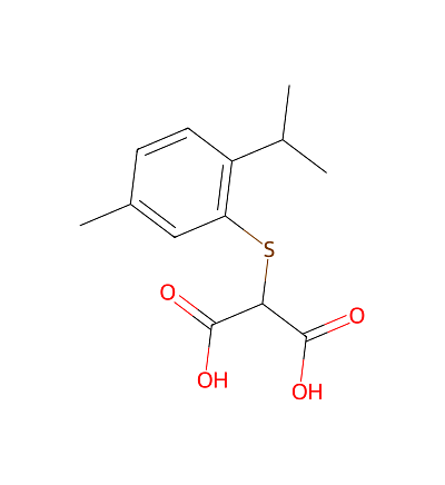 Cc1ccc(C(C)C)c(SC(C(=O)O)C(=O)O)c1